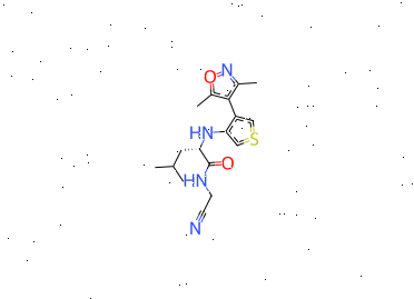 Cc1noc(C)c1-c1cscc1N[C@@H](CC(C)C)C(=O)NCC#N